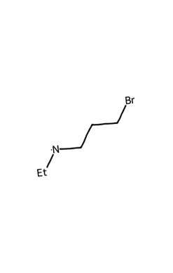 CC[N]CCCBr